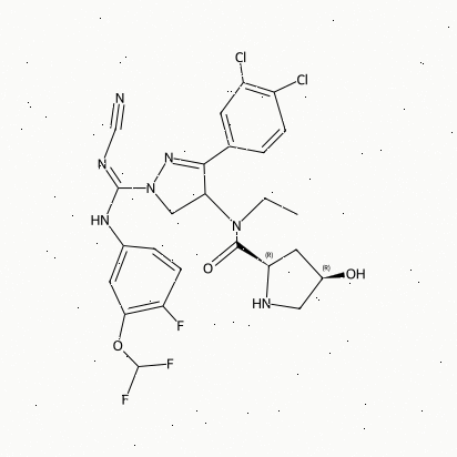 CCN(C(=O)[C@H]1C[C@@H](O)CN1)C1CN(C(=NC#N)Nc2ccc(F)c(OC(F)F)c2)N=C1c1ccc(Cl)c(Cl)c1